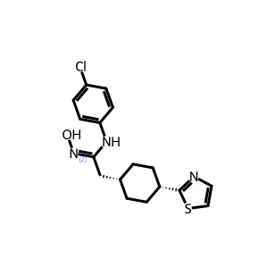 O/N=C(/C[C@H]1CC[C@@H](c2nccs2)CC1)Nc1ccc(Cl)cc1